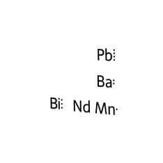 [Ba].[Bi].[Mn].[Nd].[Pb]